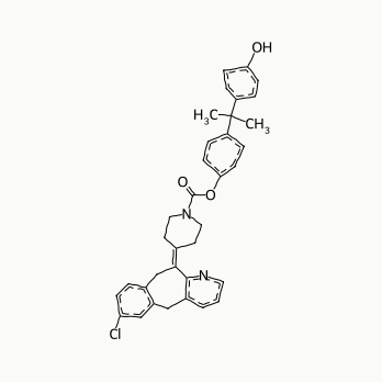 CC(C)(c1ccc(O)cc1)c1ccc(OC(=O)N2CCC(=C3Cc4ccc(Cl)cc4Cc4cccnc43)CC2)cc1